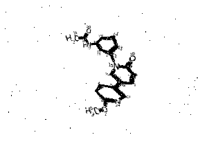 COc1ccc(-c2ccc(=O)n(-c3cccc(NC(C)=O)c3)c2)cn1